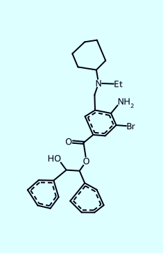 CCN(Cc1cc(C(=O)OC(c2ccccc2)C(O)c2ccccc2)cc(Br)c1N)C1CCCCC1